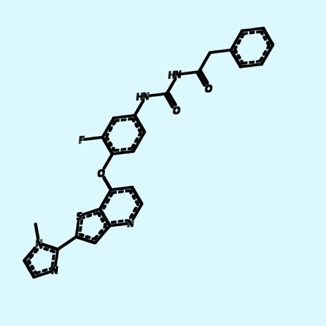 Cn1ccnc1-c1cc2nccc(Oc3ccc(NC(=O)NC(=O)Cc4ccccc4)cc3F)c2s1